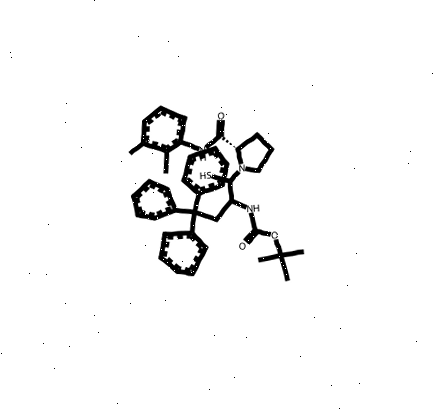 Cc1cccc(NC(=O)[C@@H]2CCCN2C(S)C(CC(c2ccccc2)(c2ccccc2)c2ccccc2)NC(=O)OC(C)(C)C)c1C